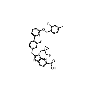 Cc1ccc(COc2cccc(-c3ccc(Cc4nc5ccc(C(=O)O)nc5n4CC4(CF)CC4)cc3F)n2)c(F)c1